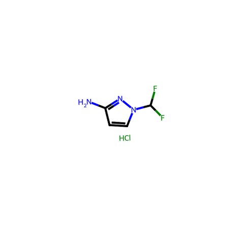 Cl.Nc1ccn(C(F)F)n1